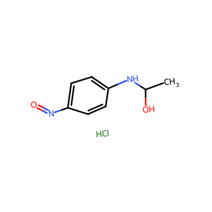 CC(O)Nc1ccc(N=O)cc1.Cl